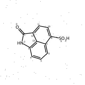 O=C1Nc2cccc3c(S(=O)(=O)O)ccc1c23